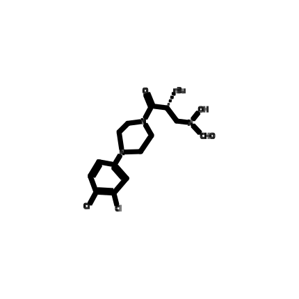 CCCC[C@H](CN(O)C=O)C(=O)N1CCN(c2ccc(Cl)c(Cl)c2)CC1